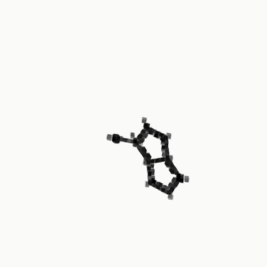 [O-][s+]1scc2nccc1-2